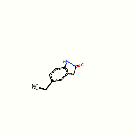 N#CCc1ccc2c(c1)CC(=O)N2